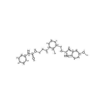 COc1ccc2[nH]c(SCc3cccc(SCCOC(=O)Nc4ccccc4)c3C)nc2c1